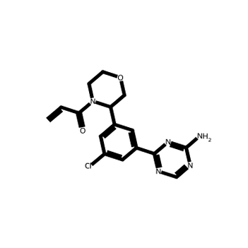 C=CC(=O)N1CCOCC1c1cc(Cl)cc(-c2ncnc(N)n2)c1